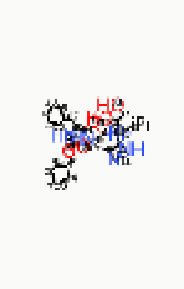 CC(C)C[C@H](NC(=O)[C@H](Cc1c[nH]cn1)NC(=O)[C@H](Cc1ccccc1)NC(=O)OCc1ccccc1)[C@H](O)CO